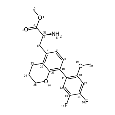 COC(=O)[C@@H](N)Cc1ccc(-c2cc(F)c(F)cc2OC)c2c1CCCO2